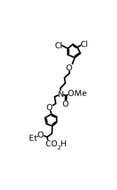 CCOC(Cc1ccc(OCCN(CCCCOCc2cc(Cl)cc(Cl)c2)C(=O)OC)cc1)C(=O)O